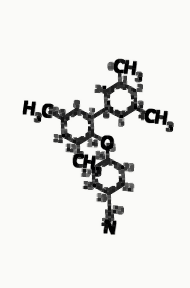 Cc1cc(C)cc(-c2cc(C)cc(C)c2Oc2ccc(C#N)cc2)c1